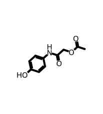 CC(=O)OCC(=O)Nc1ccc(O)cc1